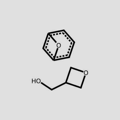 OCC1COC1.c1cc2cc(c1)O2